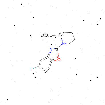 CCOC(=O)[C@@H]1CCCCN1c1nc2cc(F)ccc2o1